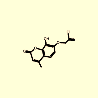 C=C(Cl)COc1ccc2c(C)cc(=O)oc2c1O